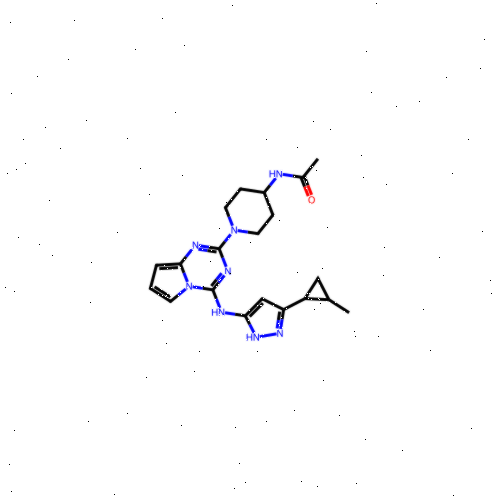 CC(=O)NC1CCN(c2nc(Nc3cc(C4CC4C)n[nH]3)n3cccc3n2)CC1